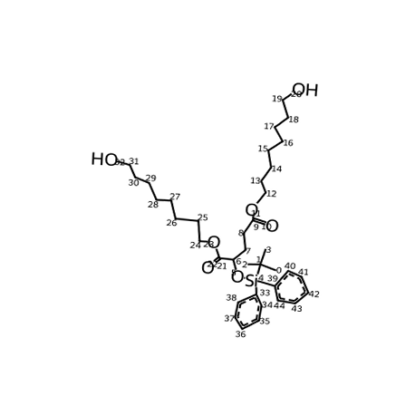 CC(C)(C)[Si](OC(CCC(=O)OCCCCCCCCO)C(=O)OCCCCCCCCO)(c1ccccc1)c1ccccc1